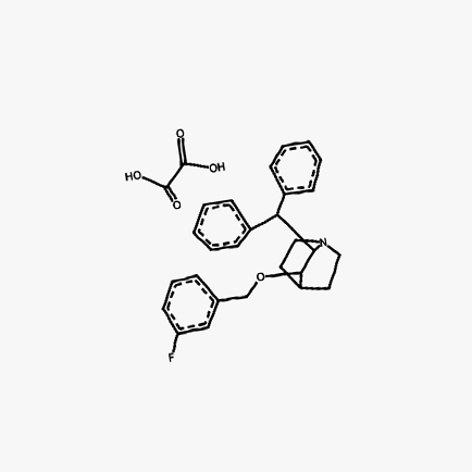 Fc1cccc(COC2C3CCN(CC3)C2C(c2ccccc2)c2ccccc2)c1.O=C(O)C(=O)O